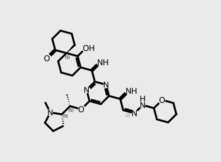 C[C@H](Oc1cc(C(=N)/C=N\NC2CCCCO2)nc(C(=N)C2=C(O)[C@]3(CCCCC3=O)CCC2)n1)[C@@H]1CCCN1C